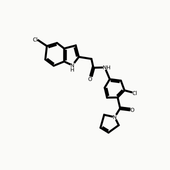 O=C(Cc1cc2cc(Cl)ccc2[nH]1)Nc1ccc(C(=O)N2CC=CC2)c(Cl)c1